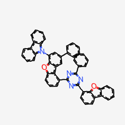 c1ccc(-c2cc(-n3c4ccccc4c4ccccc43)c3oc4cccc(-c5nc(-c6ccccc6)nc(-c6cccc7c6oc6ccccc67)n5)c4c3c2)cc1